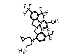 CCCN(CC1CC1)c1ccc(C(F)(F)F)cc1CN(Cc1cc(C(F)(F)F)cc(C(F)(F)F)c1)c1ncc(O)cn1